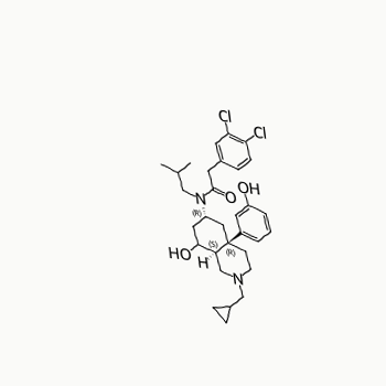 CC(C)CN(C(=O)Cc1ccc(Cl)c(Cl)c1)[C@H]1CC(O)[C@@H]2CN(CC3CC3)CC[C@@]2(c2cccc(O)c2)C1